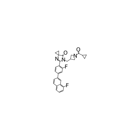 O=C(C1CC1)N1CC(CN2C(=O)C3(CC3)N=C2c2ccc(-c3ccc4cccc(F)c4c3)cc2F)C1